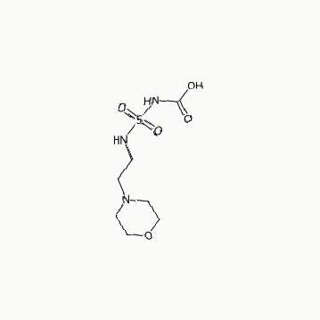 O=C(O)NS(=O)(=O)NCCN1CCOCC1